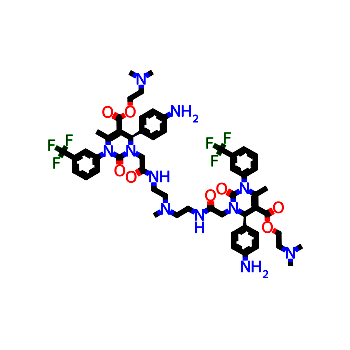 CC1=C(C(=O)OCCN(C)C)[C@@H](c2ccc(N)cc2)N(CC(=O)NCCN(C)CCNC(=O)CN2C(=O)N(c3cccc(C(F)(F)F)c3)C(C)=C(C(=O)OCCN(C)C)[C@H]2c2ccc(N)cc2)C(=O)N1c1cccc(C(F)(F)F)c1